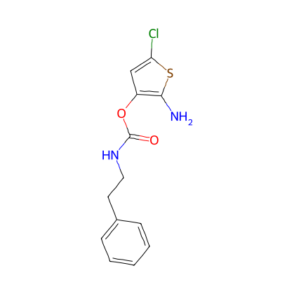 Nc1sc(Cl)cc1OC(=O)NCCc1ccccc1